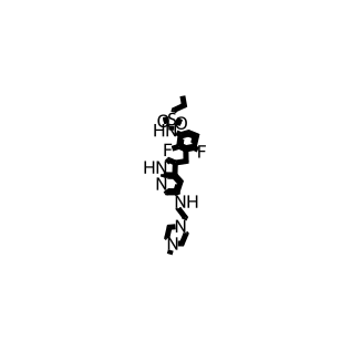 CCCS(=O)(=O)Nc1ccc(F)c(CC2CNc3ncc(NCCN4CCN(C)CC4)cc32)c1F